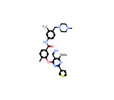 CNc1nc(-c2ccsc2)nc(Oc2cc(C(=O)Nc3ccc(CN4CCN(C)CC4)c(C(F)(F)F)c3)ccc2C)c1C=N